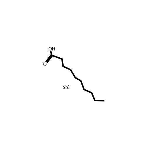 CCCCCCCCCC(=O)O.[Sb]